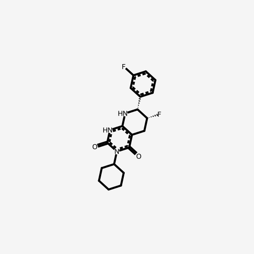 O=c1[nH]c2c(c(=O)n1C1CCCCC1)C[C@@H](F)[C@@H](c1cccc(F)c1)N2